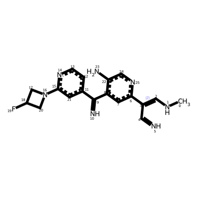 CN/C=C(\C=N)c1cc(C(=N)c2ccnc(N3CC(F)C3)c2)c(N)cn1